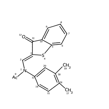 CC(=O)N(/C=C1\Sc2ccccc2C1=O)c1ccc(C)c(C)c1